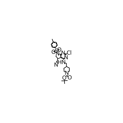 Cc1ccc(S(=O)(=O)N2CC(C#N)c3c(NCC4CCN(C(=O)OC(C)(C)C)CC4)nc(Cl)nc32)cc1